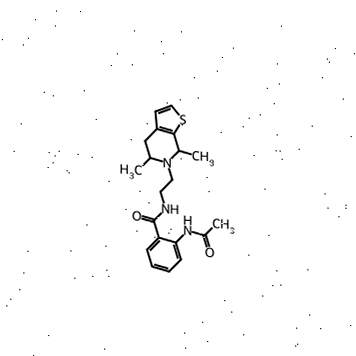 CC(=O)Nc1ccccc1C(=O)NCCN1C(C)Cc2ccsc2C1C